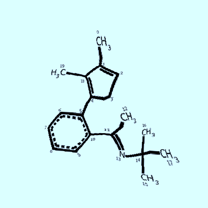 CC1=CCC(c2ccccc2/C(C)=N/C(C)(C)C)=C1C